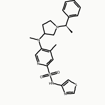 Cc1cc(S(=O)(=O)Nc2cscn2)ncc1N(C)C1CCN([C@H](C)c2ccccc2)C1